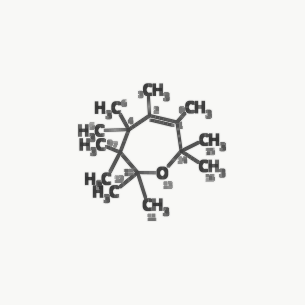 CC1=C(C)C(C)(C)C(C)(C)C(C)(C)OC1(C)C